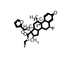 C[C@@H]1CC2C3C[C@H](F)C4=CC(=O)C=C[C@]4(C)[C@@]3(F)[C@@H](C)C[C@]2(C)[C@@]1(OC(=O)c1ccco1)C(=O)SCF